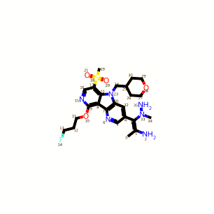 C/C(N)=C(\c1cnc2c3c(OCCCF)ncc(S(C)(=O)=O)c3n(CC3CCOCC3)c2c1)N(C)N